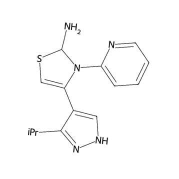 CC(C)c1n[nH]cc1C1=CSC(N)N1c1ccccn1